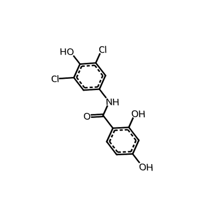 O=C(Nc1cc(Cl)c(O)c(Cl)c1)c1ccc(O)cc1O